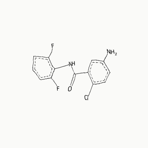 Nc1ccc(Cl)c(C(=O)Nc2c(F)cccc2F)c1